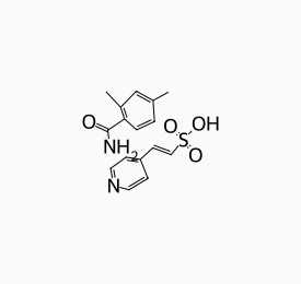 Cc1ccc(C(N)=O)c(C)c1.O=S(=O)(O)C=Cc1ccncc1